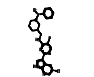 [O-][S+](c1ccccc1)N1CCCC(CNc2nc(-c3c[nH]c4ncc(Cl)cc34)ncc2F)C1